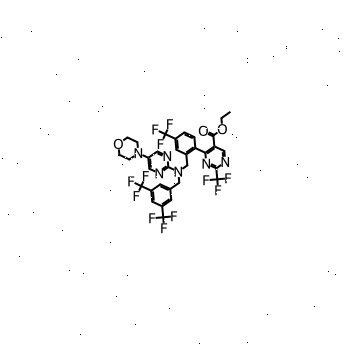 CCOC(=O)c1cnc(C(F)(F)F)nc1-c1ccc(C(F)(F)F)cc1CN(Cc1cc(C(F)(F)F)cc(C(F)(F)F)c1)c1ncc(N2CCOCC2)cn1